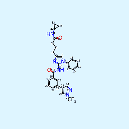 O=C(CCCc1cn(-c2ccccc2)c(NC(=O)c2cccc(-c3cnn(C(F)(F)F)c3)c2)n1)NC1CC1